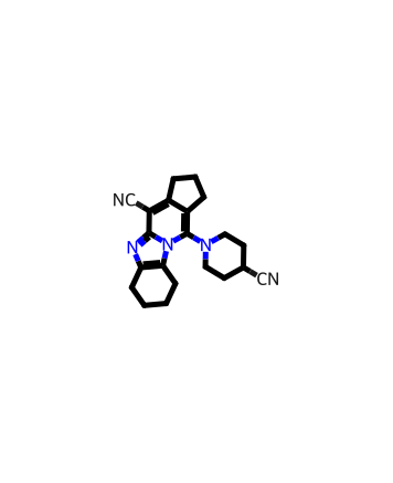 N#Cc1c2c(c(N3CCC(C#N)CC3)n3c4c(nc13)CCCC4)CCC2